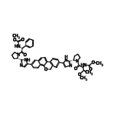 COC(=O)N[C@H](C(=O)N1CCC[C@H]1c1ncc(-c2ccc3c(c2)COc2c-3ccc3cc(-c4cnc([C@@H]5CCCN5C(=O)[C@H](NC(=O)OC)c5ccccc5)[nH]4)ccc23)[nH]1)[C@@H](C)OC